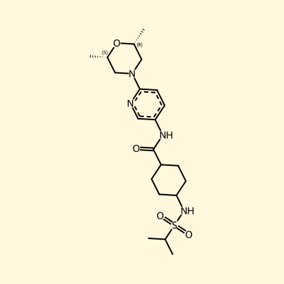 CC(C)S(=O)(=O)NC1CCC(C(=O)Nc2ccc(N3C[C@@H](C)O[C@@H](C)C3)nc2)CC1